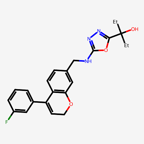 CCC(O)(CC)c1nnc(NCc2ccc3c(c2)OCC=C3c2cccc(F)c2)o1